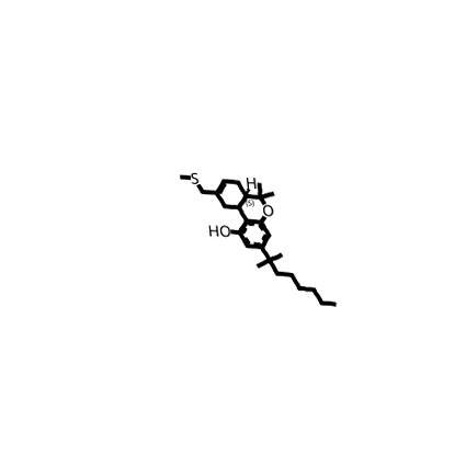 CCCCCCC(C)(C)c1cc(O)c2c(c1)OC(C)(C)[C@H]1CC=C(CSC)CC21